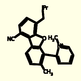 Cc1ccc2c(oc3c(CC(C)C)ccc(C#N)c32)c1-c1cccc[n+]1C